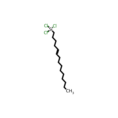 CCCCCCCCCC=CCCCC[Si](Cl)(Cl)Cl